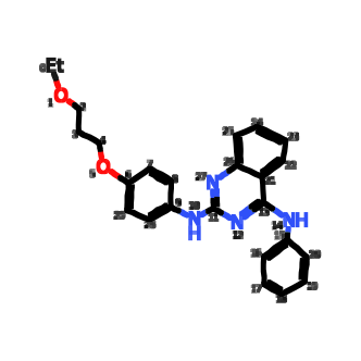 CCOCCCOc1ccc(Nc2nc(Nc3ccccc3)c3ccccc3n2)cc1